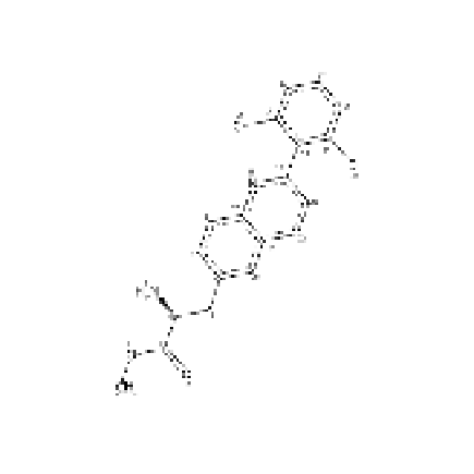 COC(=O)[C@@H](N)Cc1ccc2nc(-c3c(Cl)cccc3Cl)ccc2c1